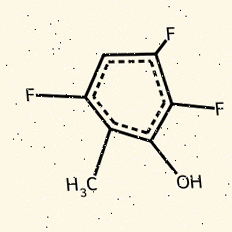 Cc1c(F)cc(F)c(F)c1O